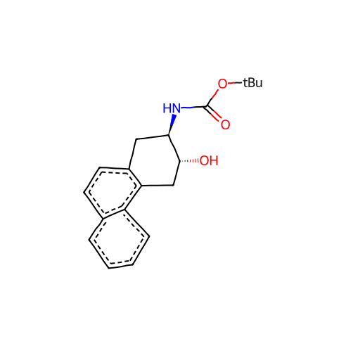 CC(C)(C)OC(=O)N[C@@H]1Cc2ccc3ccccc3c2C[C@H]1O